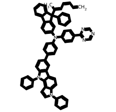 C=C/C=C\C=C(/C)C1(c2ccccc2)c2ccccc2-c2ccc(N(c3ccc(-c4ccc5c(c4)c4ccc6c(ccn6-c6ccccc6)c4n5-c4ccccc4)cc3)c3ccc(-c4ncncn4)cc3)cc21